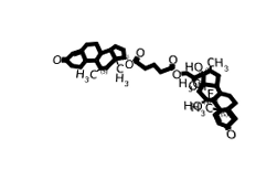 C[C@H]1C[C@@]2(C)C(CC[C@@H]2OC(=O)CCCC(=O)OCC(O)[C@@]2(O)[C@@H](C)CC3C4CCC5=CC(=O)C=C[C@]5(C)[C@@]4(F)[C@@H](O)C[C@@]32C)C2CCC3=CC(=O)CCC3C21